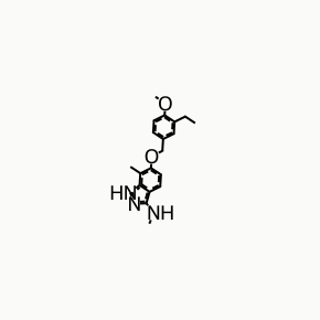 CCc1cc(COc2ccc3c(NC)n[nH]c3c2C)ccc1OC